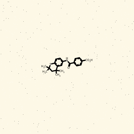 CC1(C)CC(C)(C)c2cc(NC(=O)c3ccc(C(=O)O)cc3)ccc2S1